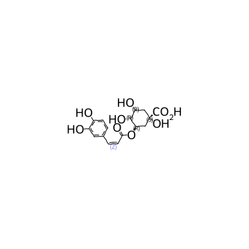 O=C(/C=C\c1ccc(O)c(O)c1)O[C@@H]1C[C@](O)(C(=O)O)C[C@@H](O)[C@H]1O